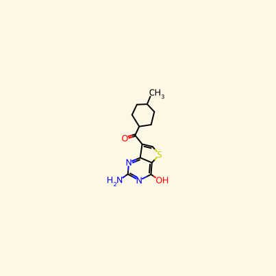 CC1CCC(C(=O)c2csc3c(O)nc(N)nc23)CC1